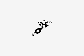 COc1ccc(Cn2cncc2C2(C(=O)O)CC2)cc1